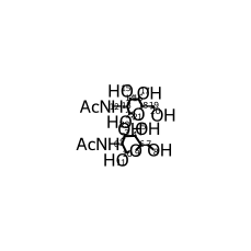 CC(=O)N[C@@H]1[C@@H](O)[C@H](O)[C@@H](CO)O[C@H]1O.CC(=O)N[C@H]1[C@@H](O)[C@H](O)[C@@H](CO)O[C@H]1O